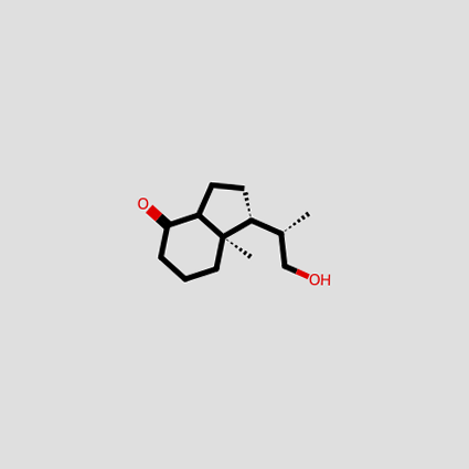 C[C@H](CO)[C@H]1CCC2C(=O)CCC[C@@]21C